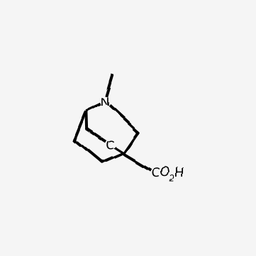 CN1CC2(C(=O)O)CCC1CC2